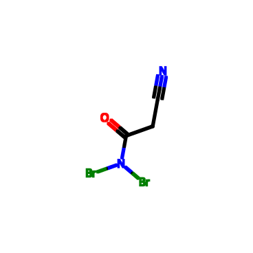 N#CCC(=O)N(Br)Br